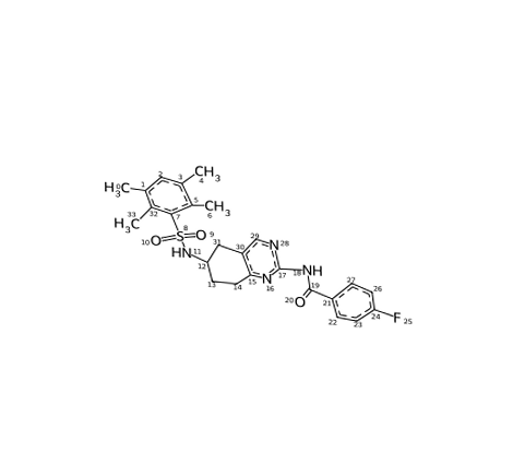 Cc1cc(C)c(C)c(S(=O)(=O)NC2CCc3nc(NC(=O)c4ccc(F)cc4)ncc3C2)c1C